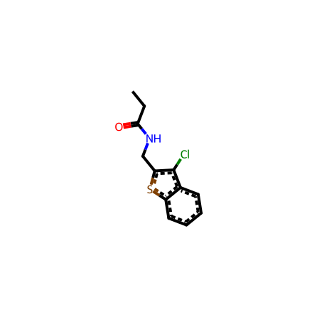 CCC(=O)NCc1sc2ccccc2c1Cl